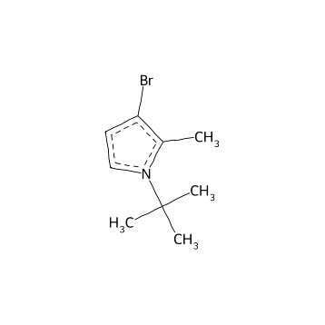 Cc1c(Br)ccn1C(C)(C)C